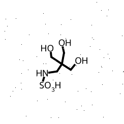 O=S(=O)(O)NCC(CO)(CO)CO